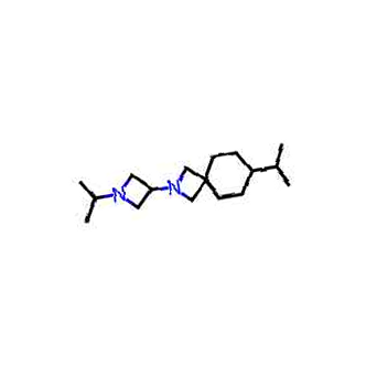 CC(C)C1CCC2(CC1)CN(C1CN(C(C)C)C1)C2